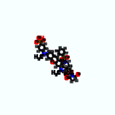 CN(c1ccccc1)c1ccc2c(-c3ccccc3S(=O)(=O)N3CCC(C(=O)ON4C(=O)CCC4=O)CC3)c3cc/c(=[N+](/C)c4ccc(S(=O)(=O)O)cc4)cc-3oc2c1